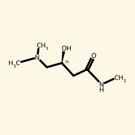 CNC(=O)C[C@H](O)CN(C)C